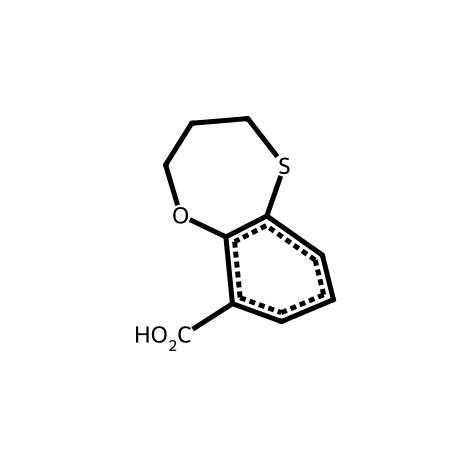 O=C(O)c1cccc2c1OCCCS2